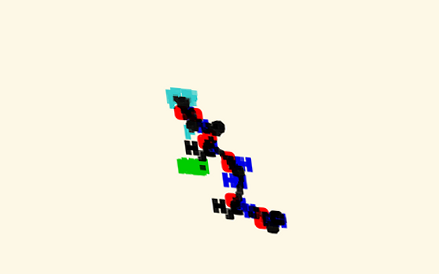 CN(CCN1CCC(OC(=O)Nc2ccccc2-c2ccccc2)CC1)C(=O)CCCCCNCc1ccc(NC(=O)OCCCCN(C)C(=O)CO[C@H]2Cc3ccccc3C23CCN(CC[C@]2(c4ccc(F)cc4)CN(C(=O)c4cc(C(F)(F)F)cc(C(F)(F)F)c4)CO2)CC3)cc1.Cl.Cl.Cl